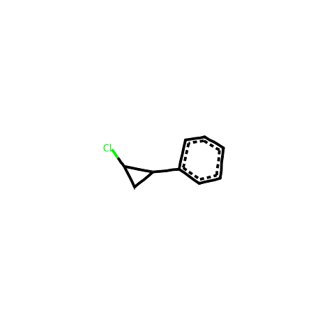 ClC1[CH]C1c1ccccc1